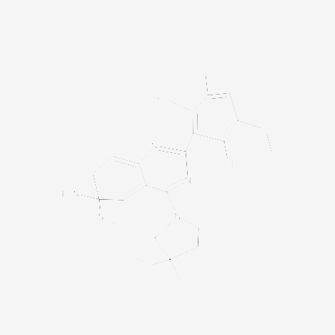 COc1cc(OC)c(Cl)c(-c2nc(N3CCC(C)(OC)C3)c3c(n2)=CCC(N)(N)C=3)c1Cl